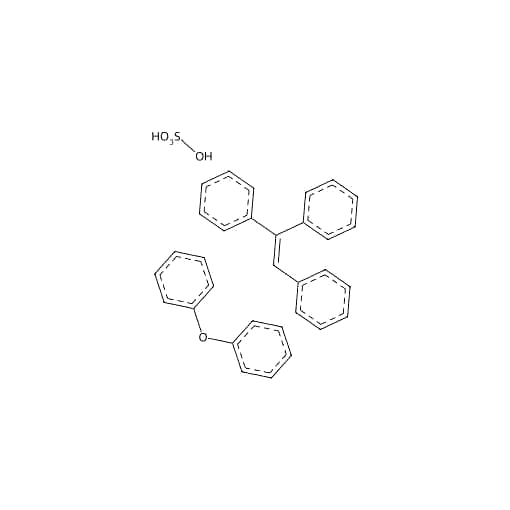 C(=C(c1ccccc1)c1ccccc1)c1ccccc1.O=S(=O)(O)O.c1ccc(Oc2ccccc2)cc1